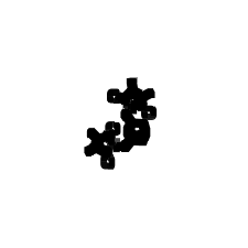 CC1=C(C)C(=O)N(CC2CC3CC(CN4C(=O)C(C)=C(C)C4=O)C2C3)C1=O